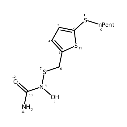 CCCCCSc1ccc(CSN(O)C(N)=O)s1